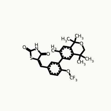 Cc1cc2c(cc1-c1cc(C=C3SC(=O)NC3=O)ccc1OC(F)(F)F)C(C)(C)COC2(C)C